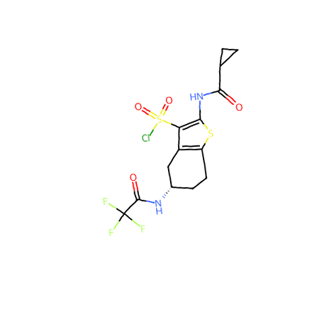 O=C(Nc1sc2c(c1S(=O)(=O)Cl)C[C@@H](NC(=O)C(F)(F)F)CC2)C1CC1